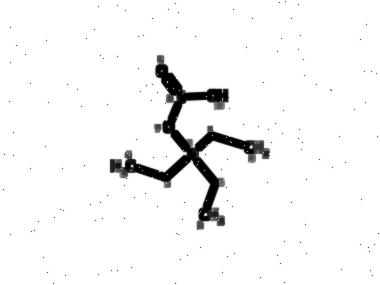 CC[Si](CC)(CC)OS(=O)O